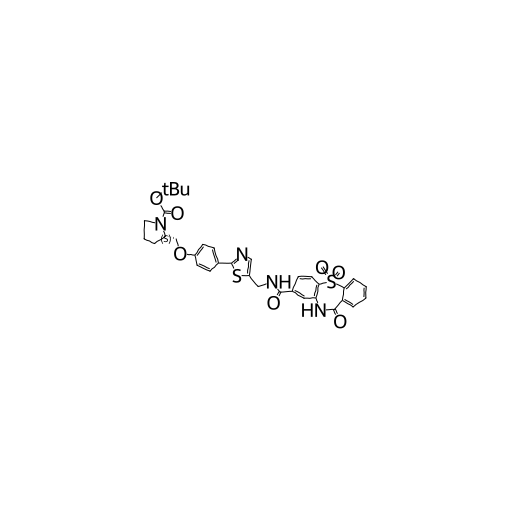 CC(C)(C)OC(=O)N1CCC[C@H]1COc1ccc(-c2ncc(CNC(=O)c3ccc4c(c3)NC(=O)c3ccccc3S4(=O)=O)s2)cc1